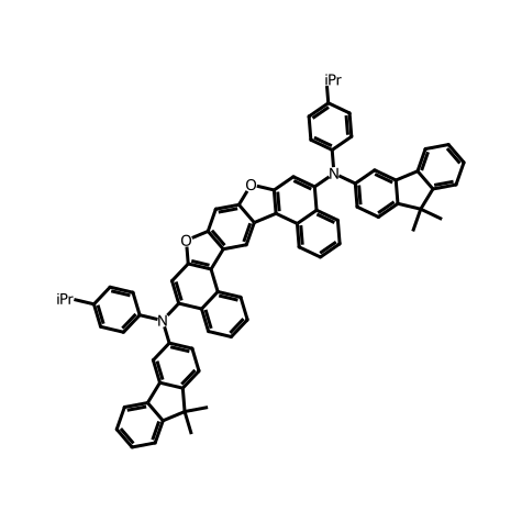 CC(C)c1ccc(N(c2ccc3c(c2)-c2ccccc2C3(C)C)c2cc3oc4cc5oc6cc(N(c7ccc(C(C)C)cc7)c7ccc8c(c7)-c7ccccc7C8(C)C)c7ccccc7c6c5cc4c3c3ccccc23)cc1